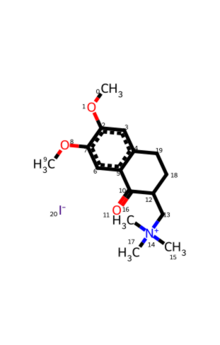 COc1cc2c(cc1OC)C(=O)C(C[N+](C)(C)C)CC2.[I-]